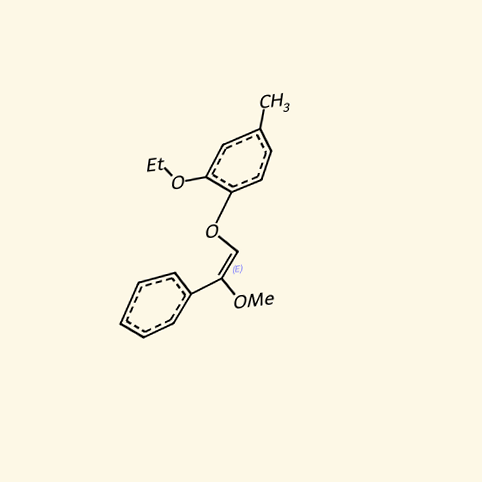 CCOc1cc(C)ccc1O/C=C(/OC)c1ccccc1